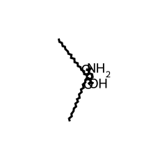 CCCCCCCCCCCCCCCCCCc1c(C(N)=O)ccc(C(=O)O)c1CCCCCCCCCCCCCCCCCC